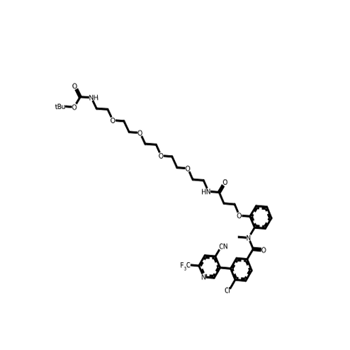 CN(C(=O)c1ccc(Cl)c(-c2cnc(C(F)(F)F)cc2C#N)c1)c1ccccc1OCCC(=O)NCCOCCOCCOCCOCCNC(=O)OC(C)(C)C